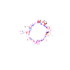 CCCCN1CC(=O)N(C)[C@@H](CC(C)C)C(=O)N[C@H](C(=O)N2CCCCC2)CC(=O)N(C)[C@@H](CC)C(=O)NC(COCCN2CCOCC2)C(=O)N(C)[C@@H](CC(C)C)C(=O)N(C)[C@@H](CC)C(=O)N[C@@H](C(C)C)C(=O)N(C)[C@@H](Cc2ccccc2)C(=O)N(C)[C@@H](CC(C)C)C(=O)N[C@@H]([C@@H](C)O)C1=O